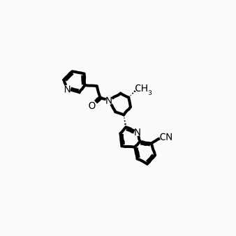 C[C@@H]1C[C@H](c2ccc3cccc(C#N)c3n2)CN(C(=O)Cc2cccnc2)C1